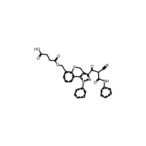 N#CC(C(=O)Nc1ccccc1)C(=O)c1nn(-c2ccccc2)c2c1CSc1c(COC(=O)CCC(=O)O)cccc1-2